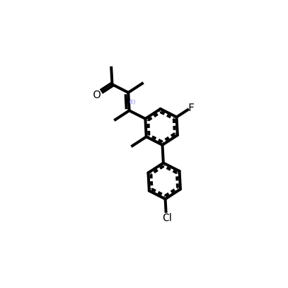 CC(=O)/C(C)=C(\C)c1cc(F)cc(-c2ccc(Cl)cc2)c1C